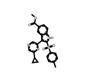 COC(=O)c1ccc2[nH]c(S(=O)(=O)c3ccc(C)cc3)c(-c3cncc(C4CC4)n3)c2c1